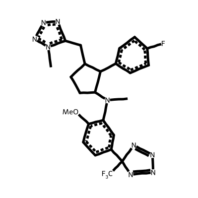 COc1ccc(C2(C(F)(F)F)N=NN=N2)cc1N(C)C1CCC(Cc2nnnn2C)C1c1ccc(F)cc1